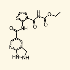 CCOC(=O)NC(=O)c1ccsc1NC(=O)c1cnc2c(c1)CNN2